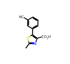 Cc1nc(C(=O)O)c(-c2cccc(C#N)c2)s1